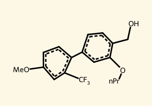 CCCOc1cc(-c2ccc(OC)cc2C(F)(F)F)ccc1CO